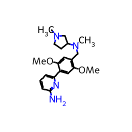 COc1cc(-c2cccc(N)n2)c(OC)cc1CN(C)C1CCN(C)C1